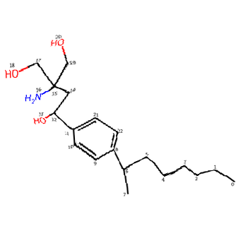 CCCCCCC(C)c1ccc(C(O)CC(N)(CO)CO)cc1